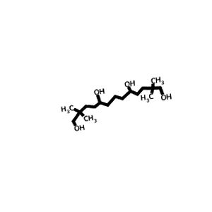 CC(C)(CO)CCC(O)CCCC(O)CCC(C)(C)CO